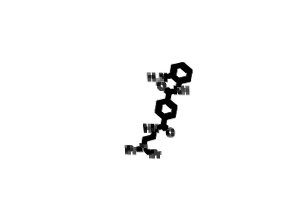 CC(C)N(CCNC(=O)c1ccc(C(=O)Nc2ccccc2N)cc1)C(C)C